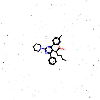 CCCCC(C(=O)O)c1c(-c2ccccc2)nc(N2CCCCC2)nc1-c1ccc(C)cc1